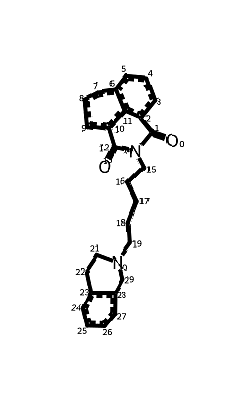 O=C1c2cccc3cccc(c23)C(=O)N1CCCCCN1CCc2ccccc2C1